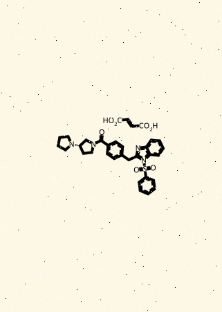 O=C(O)/C=C/C(=O)O.O=C(c1ccc(Cc2nc3ccccc3n2S(=O)(=O)c2ccccc2)cc1)N1CC[C@H](N2CCCC2)C1